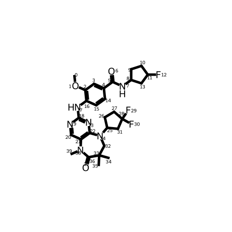 COc1cc(C(=O)NC2CCC(F)C2)ccc1Nc1ncc2c(n1)N(C1CCC(F)(F)C1)CC(C)(C)C(=O)N2C